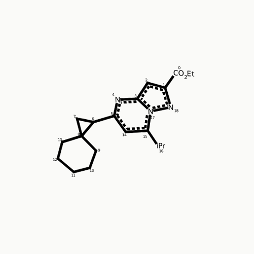 CCOC(=O)c1cc2nc(C3CC34CCCCC4)cc(C(C)C)n2n1